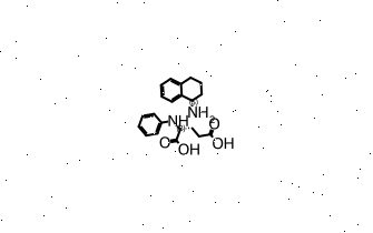 N[C@H]1CCCc2ccccc21.O=C(O)CC[C@@H](Nc1ccccc1)C(=O)O